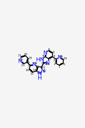 c1ccc(-c2ccnc3[nH]c(-c4n[nH]c5ccc(-c6cccnc6)nc45)nc23)nc1